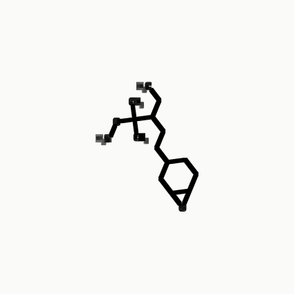 CCC(CCC1CCC2OC2C1)C(C)(C)O[SiH3]